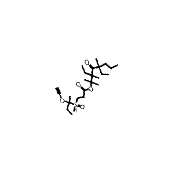 C#COC(C)(CC)[SH](C)(=O)CCC(=O)OC(C)(C)C(C)(CC)C(=O)C(C)(CC)CCC